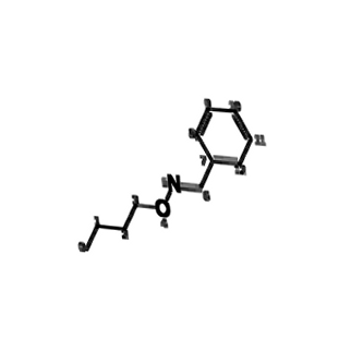 CCCCON=Cc1[c]cccc1